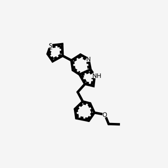 CCOc1cccc(Cc2c[nH]c3ncc(-c4ccsc4)cc23)c1